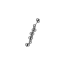 C=CC(=O)OCCCCCCOc1ccc(C(=O)OC2=CC=C(OC(=O)c3ccc(OC(=O)c4ccc(OCCCOC(=O)C=C)cc4)cc3)CC2)cc1